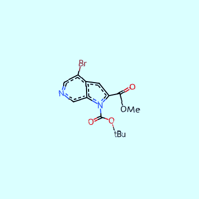 COC(=O)c1cc2c(Br)cncc2n1C(=O)OC(C)(C)C